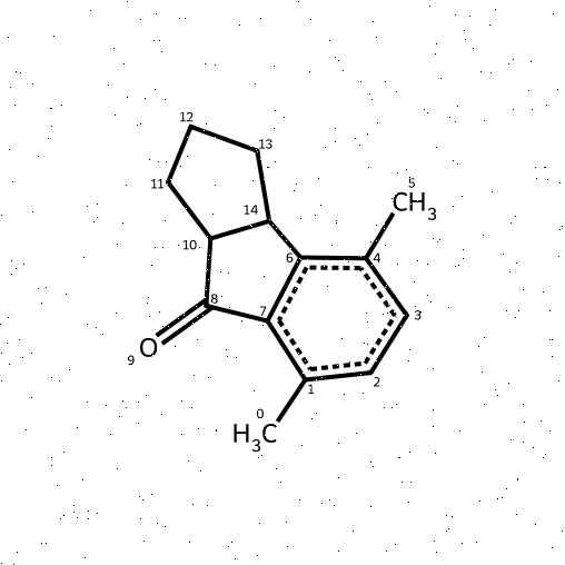 Cc1ccc(C)c2c1C(=O)C1CCCC21